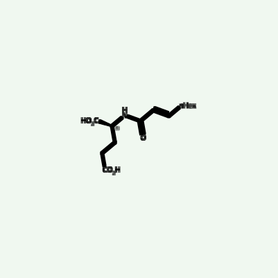 CCCCCCC=CC(=O)N[C@@H](CCC(=O)O)C(=O)O